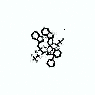 O=C(NC(Cc1c[nH]c2ccccc12)(SSC(Cc1c[nH]c2ccccc12)(NC(=O)C(F)(F)F)C(=O)NCc1ccccc1)C(=O)NCc1ccccc1)C(F)(F)F